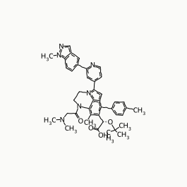 Cc1ccc(-c2c([C@H](OC(C)(C)C)C(=O)O)c(C)c3c4c2cc(-c2ccnc(-c5ccc6c(cnn6C)c5)c2)n4CCN3C(=O)CN(C)C)cc1